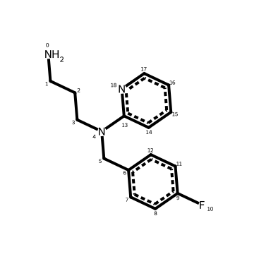 NCCCN(Cc1ccc(F)cc1)c1ccccn1